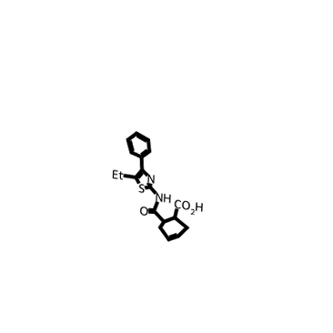 CCc1sc(NC(=O)C2CC=CCC2C(=O)O)nc1-c1ccccc1